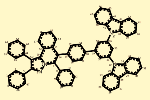 c1ccc(-c2nn3c(-c4ccccc4)c(-c4ccc(-c5cc(-n6c7ccccc7c7ccccc76)cc(-n6c7ccccc7c7ccccc76)c5)cc4)c4ccccc4c3c2-c2ccccc2)cc1